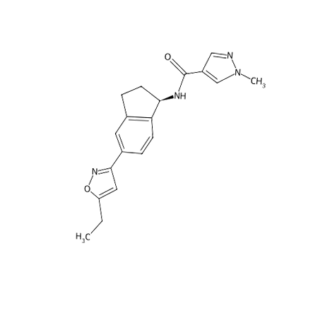 CCc1cc(-c2ccc3c(c2)CC[C@H]3NC(=O)c2cnn(C)c2)no1